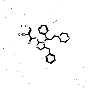 O=C/C(=C\C(=O)O)C(=O)OC1OCC(Cc2ccccc2)N1C(CCN1CCOCC1)c1ccccc1